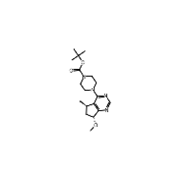 CO[C@@H]1C[C@@H](C)c2c1ncnc2N1CCN(C(=O)OC(C)(C)C)CC1